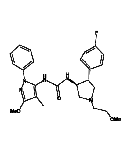 COCCN1C[C@@H](NC(=O)Nc2c(C)c(OC)nn2-c2ccccc2)[C@H](c2ccc(F)cc2)C1